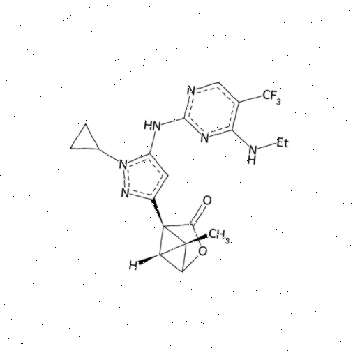 CCNc1nc(Nc2cc([C@]34C(=O)OC5[C@H]3[C@@]54C)nn2C2CC2)ncc1C(F)(F)F